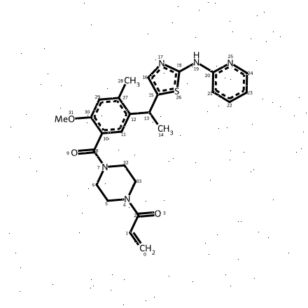 C=CC(=O)N1CCN(C(=O)c2cc(C(C)c3cnc(Nc4ccccn4)s3)c(C)cc2OC)CC1